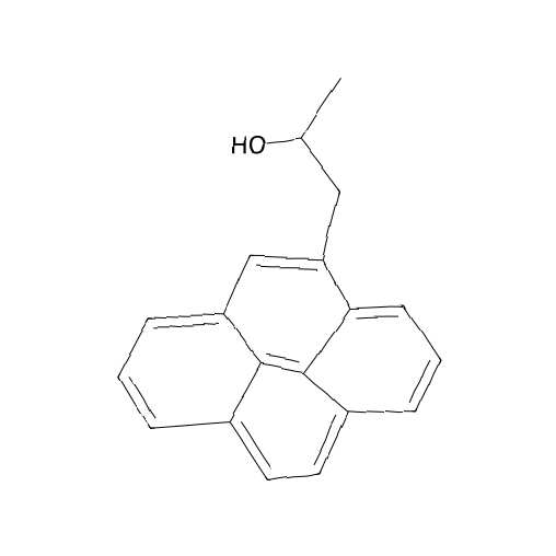 CC(O)Cc1cc2cccc3ccc4cccc1c4c32